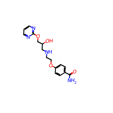 NC(=O)c1ccc(OCCNCC(O)COc2ncccn2)cc1